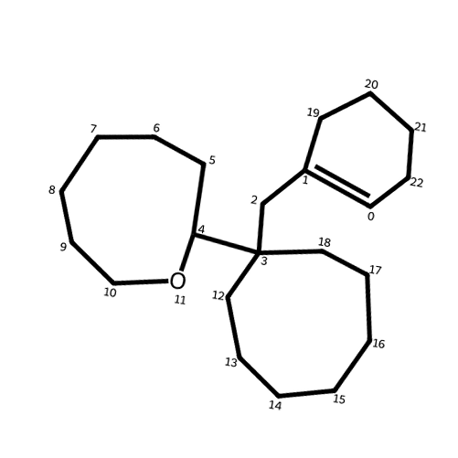 C1=C(CC2(C3CCCCCCO3)CCCCCCC2)CCCC1